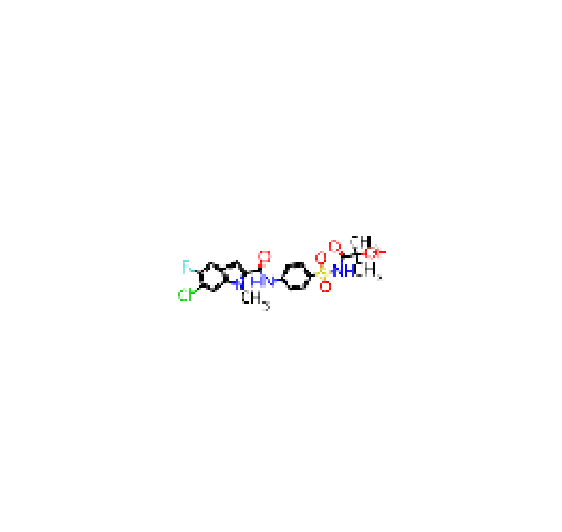 Cn1c(C(=O)Nc2ccc(S(=O)(=O)NC(=O)C(C)(C)O)cc2)cc2cc(F)c(Cl)cc21